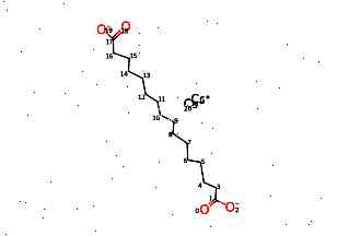 O=C([O-])CCCCCCCCCCCCCCC(=O)[O-].[Cs+].[Cs+]